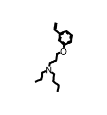 C=Cc1cccc(OCCCN(CCC)CCCC)c1